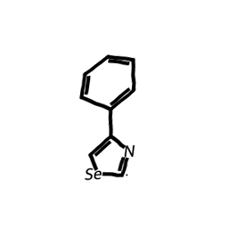 [c]1nc(-c2ccccc2)c[se]1